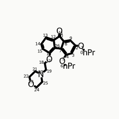 CCCOc1cc(OCCC)c2c(c1)C(=O)c1cccc(OCCN3CCOCC3)c1-2